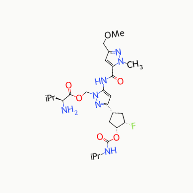 COCc1cc(C(=O)Nc2cc([C@@H]3C[C@H](F)[C@H](OC(=O)NC(C)C)C3)nn2COC(=O)[C@@H](N)C(C)C)n(C)n1